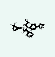 O=C(NC1C2CCC(F)(F)C21)C(c1cncnc1)N(C(=O)C(F)Cl)c1ccc(-c2ccsn2)cc1